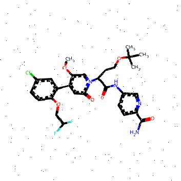 COc1cn(C(CCOC(C)(C)C)C(=O)Nc2ccc(C(N)=O)nc2)c(=O)cc1-c1cc(Cl)ccc1OCC(F)F